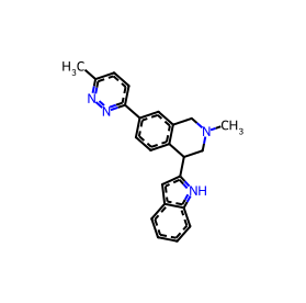 Cc1ccc(-c2ccc3c(c2)CN(C)CC3c2cc3ccccc3[nH]2)nn1